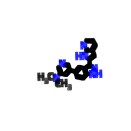 CN(C)c1cncc(-c2ccc3[nH]nc(-c4cc5cccnc5[nH]4)c3c2)c1